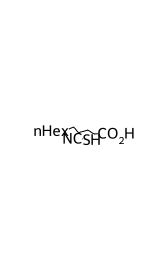 CCCCCCCCCCC(=O)O.N#CS